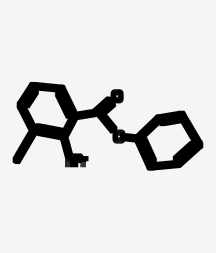 CCCc1c(C)cccc1C(=O)Oc1ccccc1